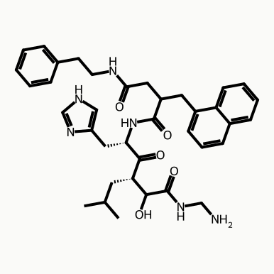 CC(C)C[C@H](C(=O)[C@H](Cc1c[nH]cn1)NC(=O)C(CC(=O)NCCc1ccccc1)Cc1cccc2ccccc12)C(O)C(=O)NCN